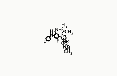 CC(C)CN1CCN(S(=O)(=O)c2cnn(C)n2)CC1c1cc(C=N)c(Nc2ccc(F)cc2)cc1F